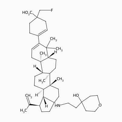 C=C(C)[C@@H]1CC[C@]2(NCCC3(O)CCOCC3)CC[C@]3(C)[C@H](CC[C@@H]4[C@@]5(C)CC=C(C6=CCC(CF)(C(=O)O)CC6)C(C)(C)[C@@H]5CC[C@]43C)[C@@H]12